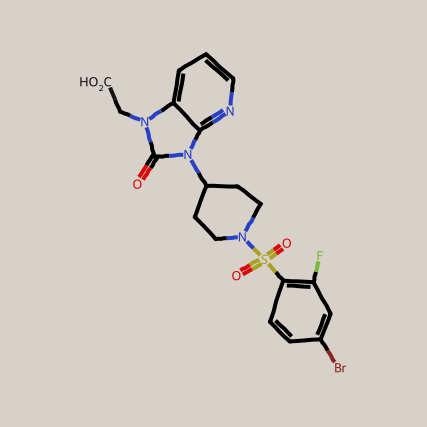 O=C(O)Cn1c(=O)n(C2CCN(S(=O)(=O)c3ccc(Br)cc3F)CC2)c2ncccc21